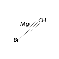 C#CBr.[Mg]